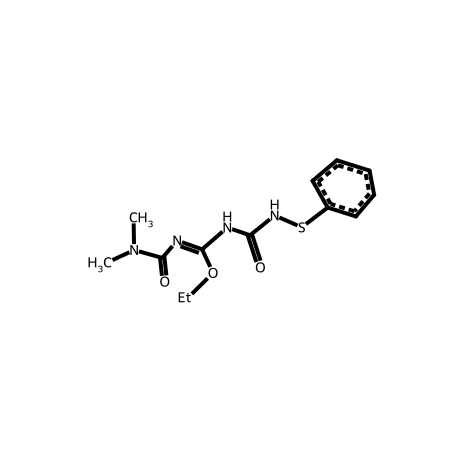 CCOC(=NC(=O)N(C)C)NC(=O)NSc1ccccc1